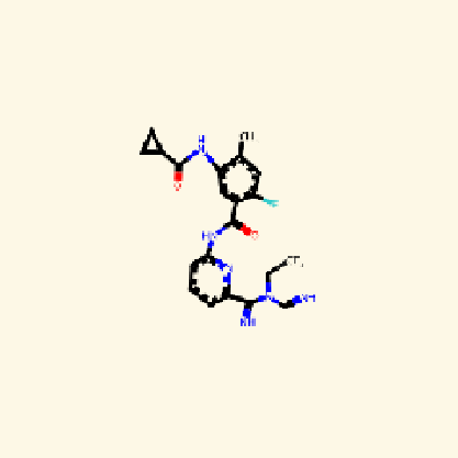 Cc1cc(F)c(C(=O)Nc2cccc(C(=N)N(C=N)CC(F)(F)F)n2)cc1NC(=O)C1CC1